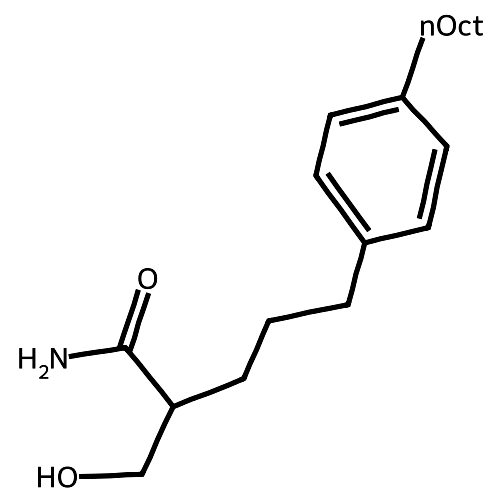 CCCCCCCCc1ccc(CCCC(CO)C(N)=O)cc1